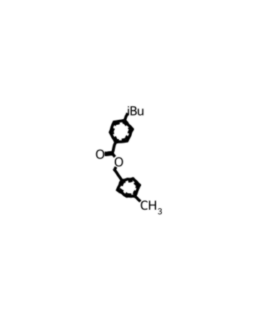 CCC(C)c1ccc(C(=O)OCc2ccc(C)cc2)cc1